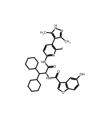 Cc1n[nH]c(C)c1-c1ccc(NC(=O)[C@@H](NC(=O)c2coc3ccc(O)cc23)C(C2CCCCC2)C2CCCCC2)nc1F